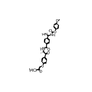 COc1ccc(OC(=O)NC(=N)c2ccc(C(=O)N[C@@H](C)C(=O)c3ccc(OCC(=O)O)cc3)cc2)cc1